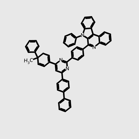 CC1(c2ccccc2)C=CC(c2cc(-c3ccc(-c4ccccc4)cc3)nc(-c3ccc(-c4nc5ccccc5c5c6ccccc6n(-c6ccccc6)c45)cc3)n2)=CC1